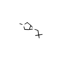 FC(F)(F)CN1C2CN(I)CC21